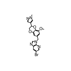 COc1cc(Cn2cnc3cc(Br)cnc32)cc2c1OC(c1cnn(C)c1)CO2